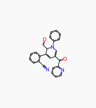 N#Cc1ccccc1C1=CC(C(=O)c2ccccn2)=CN(c2ccccc2)C1C=O